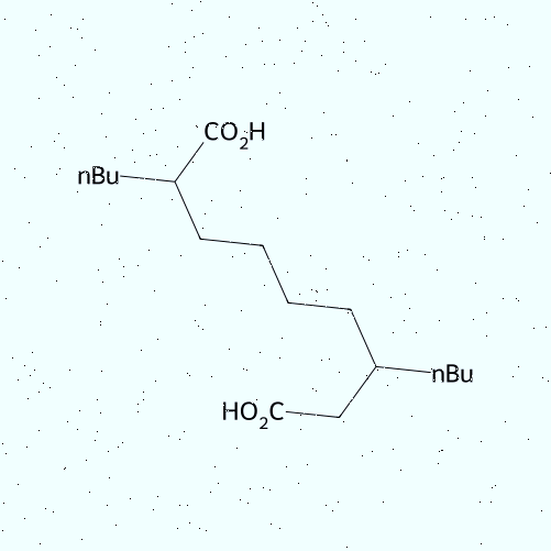 CCCCC(CCCCC(CCCC)C(=O)O)CC(=O)O